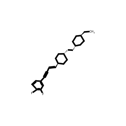 CC[C@H]1CC[C@H](CC[C@H]2CC[C@H](C=CC#Cc3ccc(F)c(F)c3)CC2)CC1